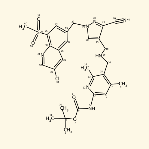 Cc1cc(NC(=O)OC(C)(C)C)nc(C)c1CNCc1cn(Cc2cc(S(C)(=O)=O)c3ncc(Cl)cc3c2)nc1C#N